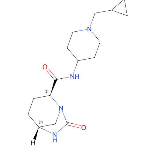 O=C(NC1CCN(CC2CC2)CC1)[C@@H]1CC[C@@H]2CN1C(=O)N2